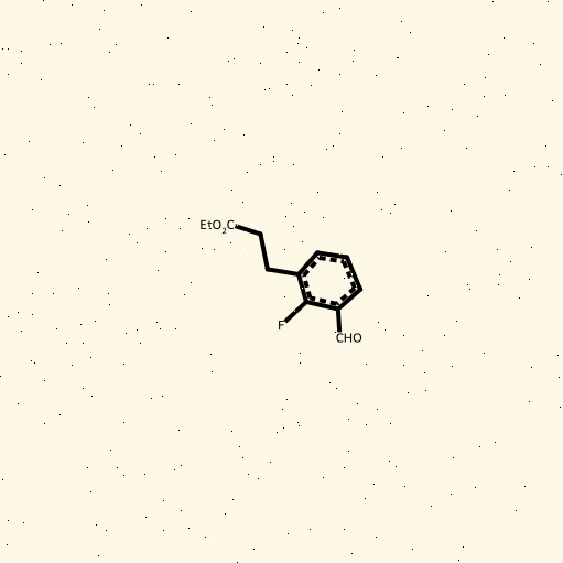 CCOC(=O)CCc1cccc(C=O)c1F